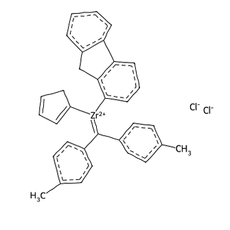 Cc1ccc([C](c2ccc(C)cc2)=[Zr+2]([C]2=CC=CC2)[c]2cccc3c2Cc2ccccc2-3)cc1.[Cl-].[Cl-]